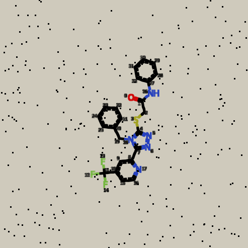 O=C(CSc1nnc(-c2cc(C(F)(F)F)ccn2)n1Cc1ccccc1)Nc1ccccc1